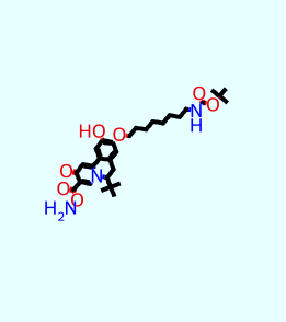 CC(C)(C)OC(=O)NCCCCCCCCOc1cc2c(cc1O)-c1cc(=O)c(C(=O)ON)cn1C(C(C)(C)C)C2